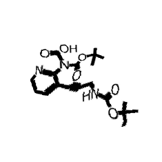 CC(C)(C)OC(=O)NCC#Cc1cccnc1N(C(=O)O)C(=O)OC(C)(C)C